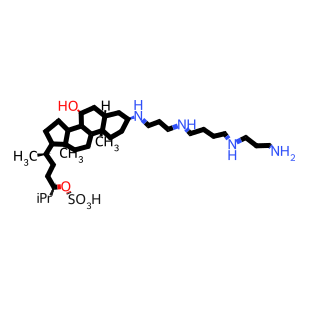 CC(C)[C@@H](CC[C@@H](C)C1CCC2C3C(CC[C@@]21C)[C@@]1(C)CC[C@H](NCCCNCCCCNCCCN)C[C@@H]1C[C@H]3O)OS(=O)(=O)O